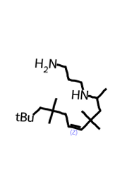 CC(CC(C)(C)/C=C\CC(C)(C)CC(C)(C)C)NCCCN